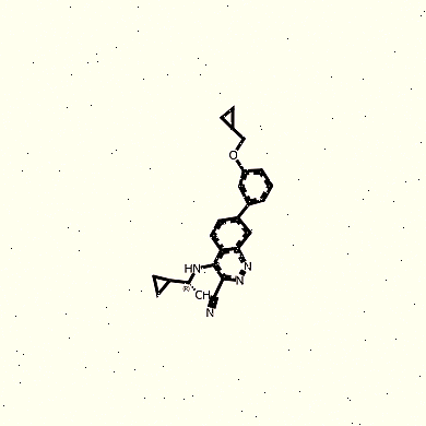 C[C@@H](Nc1c(C#N)nnc2cc(-c3cccc(OCC4CC4)c3)ccc12)C1CC1